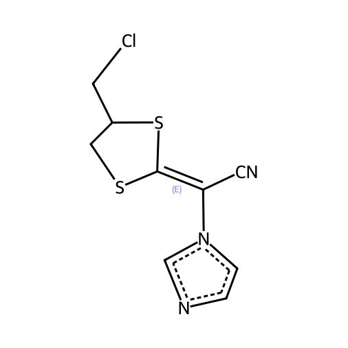 N#C/C(=C1/SCC(CCl)S1)n1ccnc1